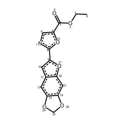 CCOC(=O)c1cnc(-c2cc3cc4c(cc3o2)OCO4)o1